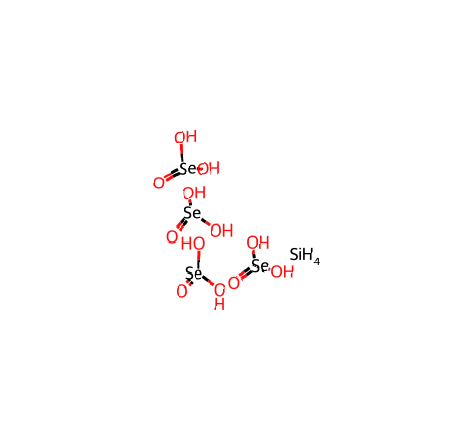 O=[Se](O)O.O=[Se](O)O.O=[Se](O)O.O=[Se](O)O.[SiH4]